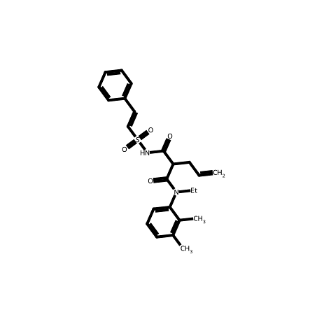 C=CCC(C(=O)NS(=O)(=O)/C=C/c1ccccc1)C(=O)N(CC)c1cccc(C)c1C